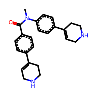 CN(C(=O)c1ccc(C2=CCNCC2)cc1)c1ccc(C2=CCNCC2)cc1